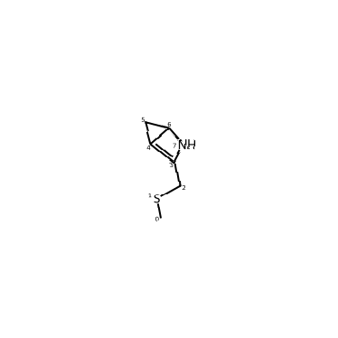 CSCC1=C2CC2N1